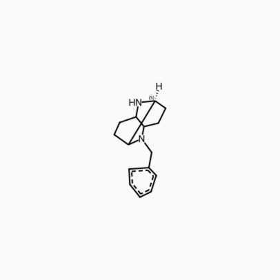 c1ccc(CN2C3CC[C@@H]4NC3CCC42)cc1